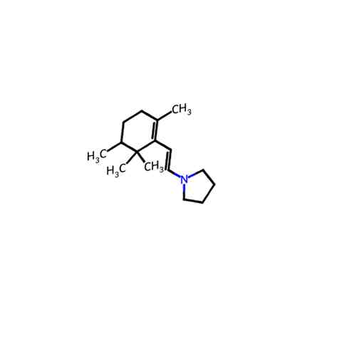 CC1=C(C=CN2CCCC2)C(C)(C)C(C)CC1